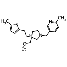 CCOC[C@@]1(CCc2ccc(C)s2)CCN(Cc2ccc(C)nc2)C1